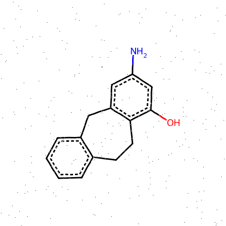 Nc1cc(O)c2c(c1)Cc1ccccc1CC2